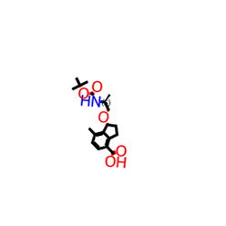 Cc1ccc(C(=O)O)c2c1C(OC[C@H](C)NC(=O)OC(C)(C)C)CC2